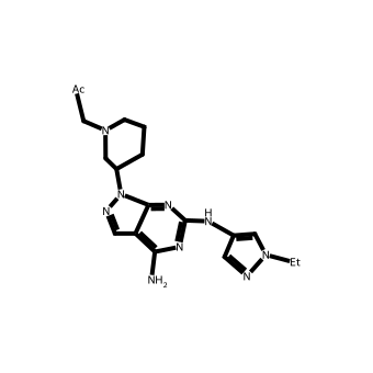 CCn1cc(Nc2nc(N)c3cnn(C4CCCN(CC(C)=O)C4)c3n2)cn1